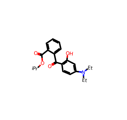 CCN(CC)c1ccc(C(=O)c2ccccc2C(=O)OC(C)C)c(O)c1